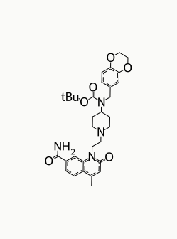 Cc1cc(=O)n(CCN2CCC(N(Cc3ccc4c(c3)OCCO4)C(=O)OC(C)(C)C)CC2)c2cc(C(N)=O)ccc12